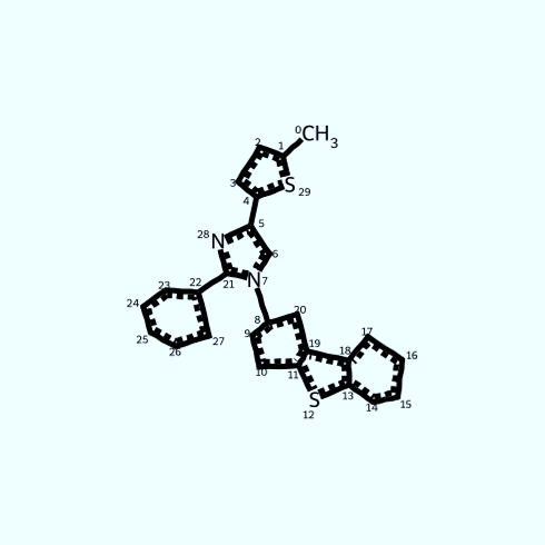 Cc1ccc(-c2cn(-c3ccc4sc5ccccc5c4c3)c(-c3ccccc3)n2)s1